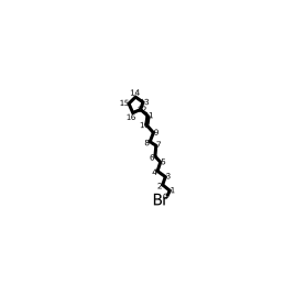 BrCCCCCCCCC/C=C/C1CCCC1